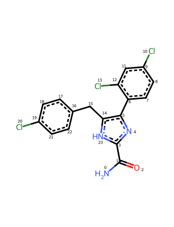 NC(=O)c1nc(-c2ccc(Cl)cc2Cl)c(Cc2ccc(Cl)cc2)[nH]1